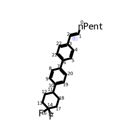 CCCCC/C=C/c1ccc(-c2ccc(C3CCC(F)(F)CC3)cc2)cc1